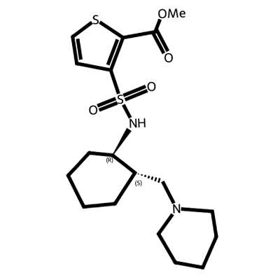 COC(=O)c1sccc1S(=O)(=O)N[C@@H]1CCCC[C@H]1CN1CCCCC1